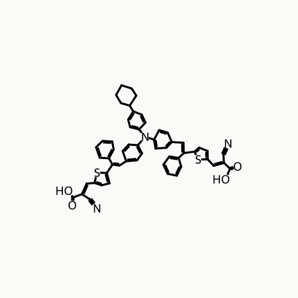 N#C/C(=C\c1ccc(/C(=C/c2ccc(N(c3ccc(/C=C(\c4ccccc4)c4ccc(/C=C(\C#N)C(=O)O)s4)cc3)c3ccc(C4CCCCC4)cc3)cc2)c2ccccc2)s1)C(=O)O